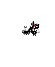 CCOC(COC)c1nc2cc(-c3noc(=O)[nH]3)nc(-c3cncc(Cl)c3)c2n1CC1CCC(C)CC1